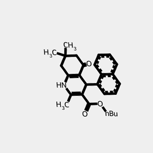 CCCCOC(=O)C1=C(C)NC2=C(C(=O)CC(C)(C)C2)C1c1cccc2ccccc12